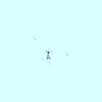 C=C(O)C(CSSCC(NC(=O)CCCCCCCCCCCCCCCN(C)C)C(=O)O)NC(=O)CCCCCCCCCCCCCCCN(C)C